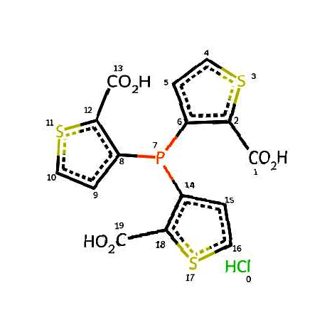 Cl.O=C(O)c1sccc1P(c1ccsc1C(=O)O)c1ccsc1C(=O)O